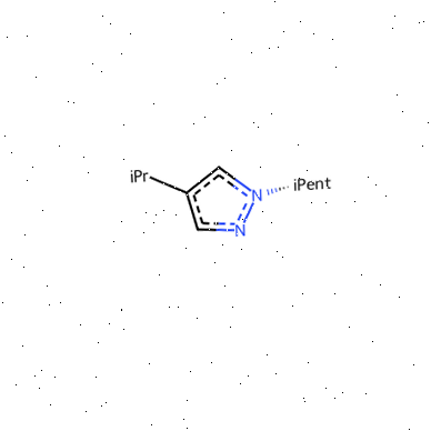 CCC[C@@H](C)n1cc(C(C)C)cn1